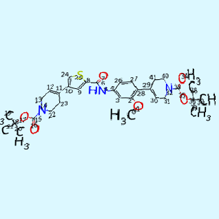 COc1cc(NC(=O)c2cc(C3=CCN(C(=O)OC(C)(C)C)CC3)cs2)ccc1C1=CCN(C(=O)OC(C)(C)C)CC1